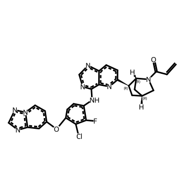 C=CC(=O)N1C[C@H]2C[C@@H]1[C@H](c1ccc3ncnc(Nc4ccc(Oc5ccn6ncnc6c5)c(Cl)c4F)c3n1)C2